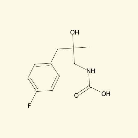 CC(O)(CNC(=O)O)Cc1ccc(F)cc1